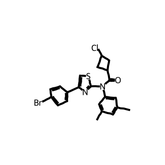 Cc1cc(C)cc(N(C(=O)C2CC(Cl)C2)c2nc(-c3ccc(Br)cc3)cs2)c1